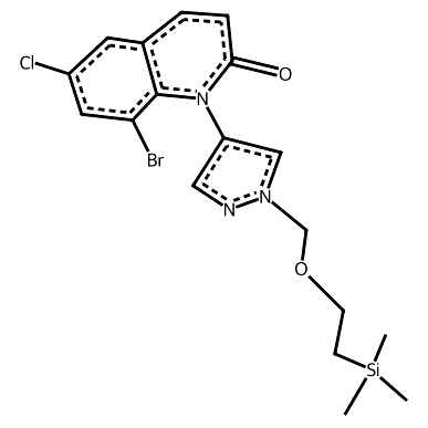 C[Si](C)(C)CCOCn1cc(-n2c(=O)ccc3cc(Cl)cc(Br)c32)cn1